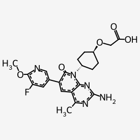 COc1ncc(-c2cc3c(C)nc(N)nc3n([C@H]3CC[C@H](OCC(=O)O)CC3)c2=O)cc1F